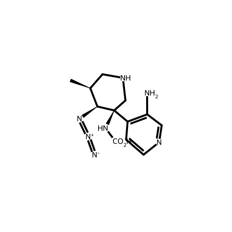 C[C@H]1CNC[C@](NC(=O)O)(c2ccncc2N)[C@H]1N=[N+]=[N-]